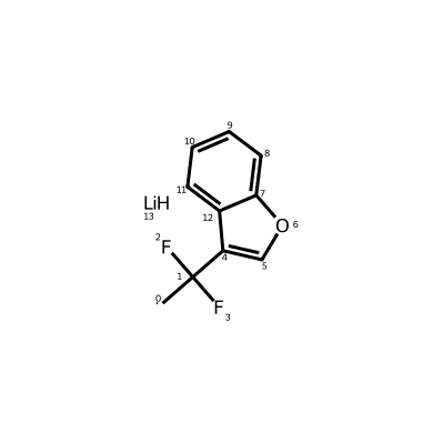 [CH2]C(F)(F)c1coc2ccccc12.[LiH]